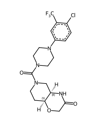 O=C1CO[C@H]2CCN(C(=O)N3CCN(c4ccc(Cl)c(C(F)(F)F)c4)CC3)C[C@H]2N1